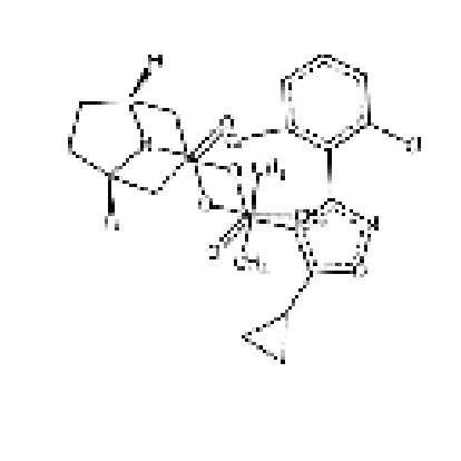 CC(C)(C)OC(=O)N1[C@@H]2CC[C@H]1CC(OC(=O)c1c(-c3c(Cl)cccc3Cl)noc1C1CC1)C2